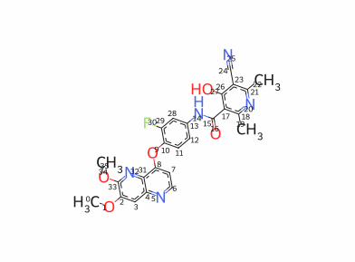 COc1cc2nccc(Oc3ccc(NC(=O)c4c(C)nc(C)c(C#N)c4O)cc3F)c2nc1OC